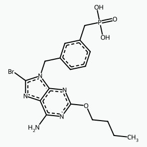 CCCCOc1nc(N)c2nc(Br)n(Cc3cccc(CP(=O)(O)O)c3)c2n1